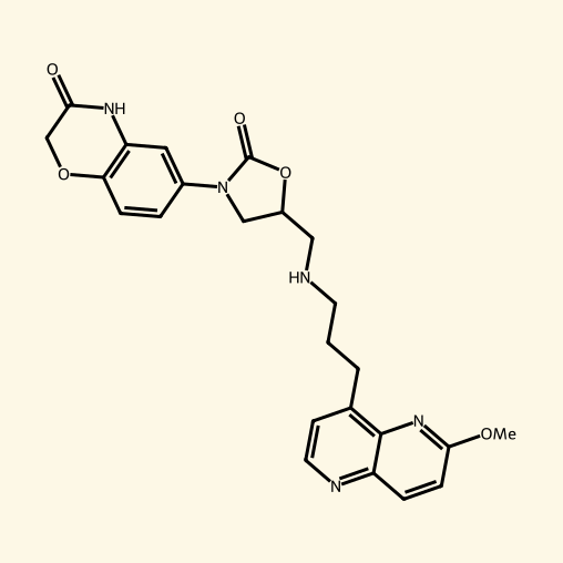 COc1ccc2nccc(CCCNCC3CN(c4ccc5c(c4)NC(=O)CO5)C(=O)O3)c2n1